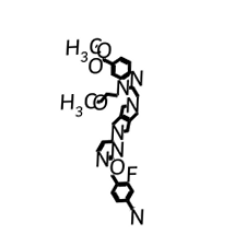 COCCn1c(CN2CC3=C(C2)CN(c2ccnc(OCc4ccc(C#N)cc4F)n2)C3)nc2ccc(C(=O)OC)cc21